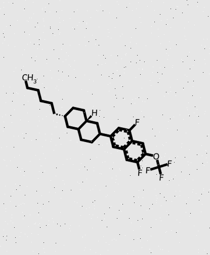 CCCCCC[C@@H]1CC[C@@H]2CC(c3cc(F)c4cc(OC(F)(F)F)c(F)cc4c3)CCC2C1